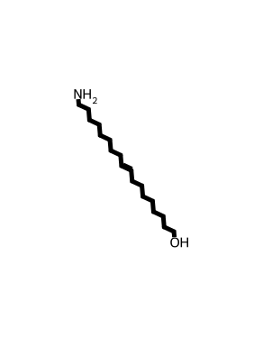 NCCCCCCCCC=CCCCCCCCCO